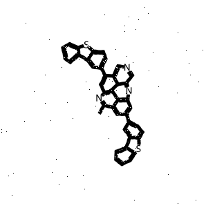 Cc1nc2c3c4c(cc(-c5ccc6sc7ccccc7c6c5)cc14)N=C1C=NC=C(C(c4ccc5sc6ccccc6c5c4)=C2)C13